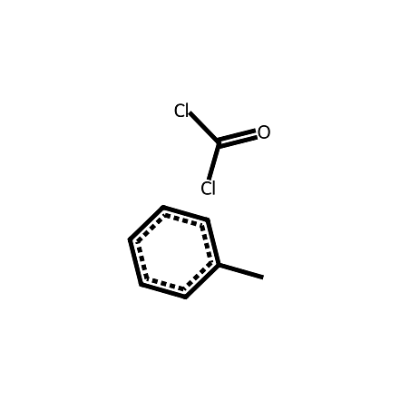 Cc1ccccc1.O=C(Cl)Cl